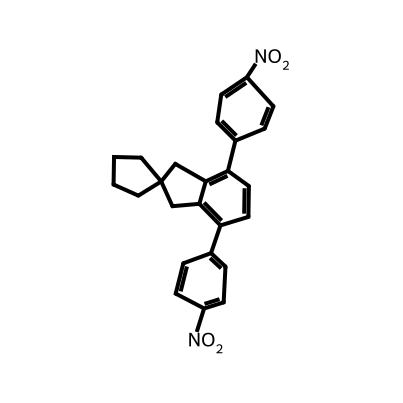 O=[N+]([O-])c1ccc(-c2ccc(-c3ccc([N+](=O)[O-])cc3)c3c2CC2(CCCC2)C3)cc1